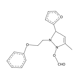 CC1=CC(c2ccco2)N(CCOc2ccccc2)N1OC=O